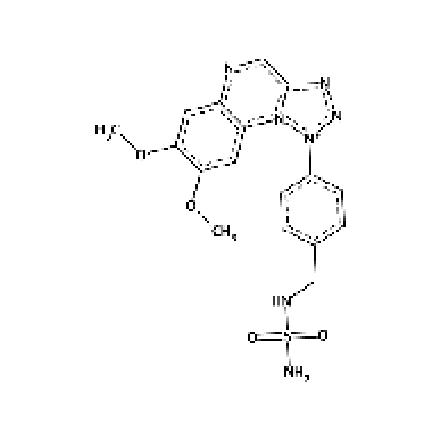 COc1cc2ncc3nn[n+](-c4ccc(CNS(N)(=O)=O)cc4)n3c2cc1OC